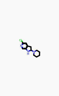 Clc1cc2c(cn1)NC(N1CCCCC1)C2